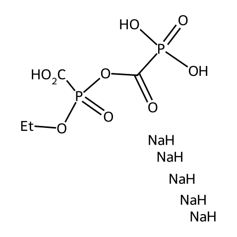 CCOP(=O)(OC(=O)P(=O)(O)O)C(=O)O.[NaH].[NaH].[NaH].[NaH].[NaH]